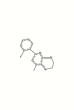 Cc1cc(-c2ccccc2F)nc2c1=NCCN=2